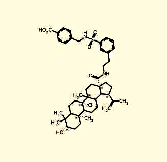 C=C(C)[C@@H]1CC[C@]2(C(=O)NCCc3cccc(S(=O)(=O)NCc4ccc(C(=O)O)cc4)c3)CC[C@]3(C)C(CCC4[C@@]5(C)CC[C@H](O)C(C)(C)C5CC[C@]43C)C12